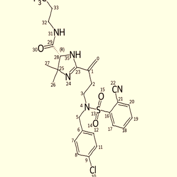 C=C(CCN(Cc1ccc(Cl)cc1)S(=O)(=O)c1ccccc1C#N)C1=NC(C)(C)[C@H](C(=O)NCCC(F)(F)F)N1